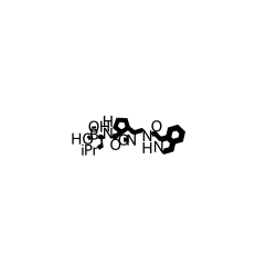 CC(C)C[C@H](NC(=O)C12CCCC1C(CNC(=O)c1nccc3ccccc13)=NO2)B(O)O